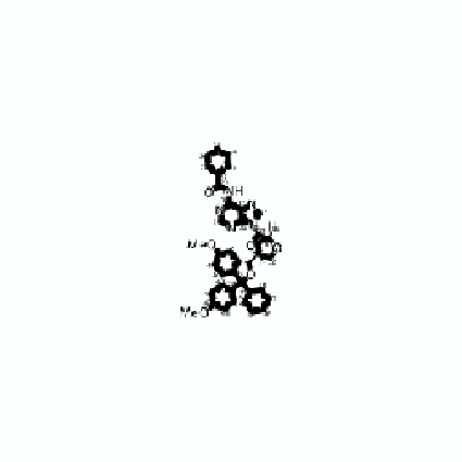 COc1ccc(C(OC[C@@]23[CH][C@@H](OC2)[C@H](n2cnc4c(NC(=O)c5ccccc5)ncnc42)O3)(c2ccccc2)c2ccc(OC)cc2)cc1